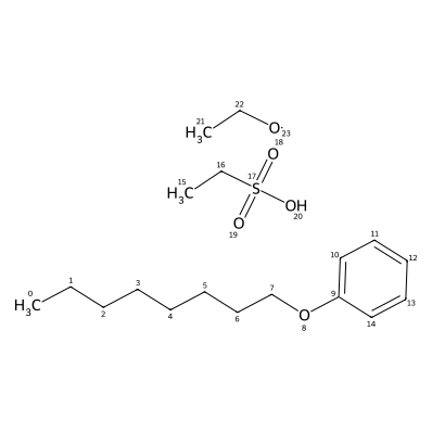 CCCCCCCCOc1ccccc1.CCS(=O)(=O)O.CC[O]